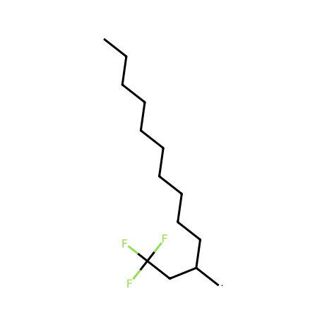 [CH2]C(CCCCCCCCCC)CC(F)(F)F